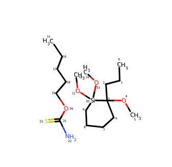 CCCC1(OC)CCCC[Si]1(OC)OC.CCCCCOC(N)=S